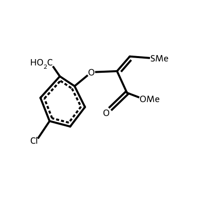 COC(=O)/C(=C\SC)Oc1ccc(Cl)cc1C(=O)O